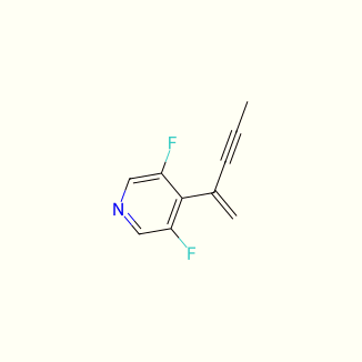 C=C(C#CC)c1c(F)cncc1F